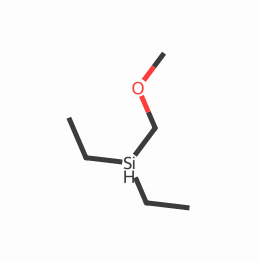 CC[SiH](CC)COC